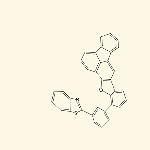 c1cc(-c2nc3ccccc3s2)cc(-c2cccc3c2oc2c4cccc5c4c(cc32)-c2ccccc2-5)c1